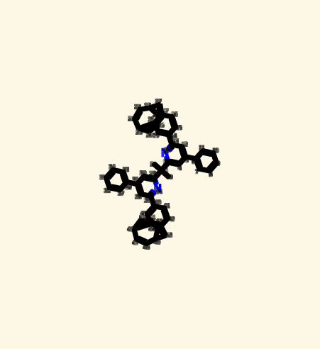 CC(C)(c1cc(-c2ccccc2)cc(-c2ccc3c(c2)C2C=CC4C(C=C2)C34)n1)c1cc(-c2ccccc2)cc(-c2ccc3c(c2)C2C=CC4C(C=C2)C34)n1